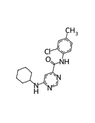 Cc1ccc(NC(=O)c2cc(NC3CCCCC3)ncn2)c(Cl)c1